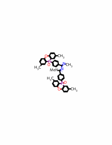 C/N=C(\N=C(/NC)c1ccc(P2(=O)c3cc(C)ccc3Oc3ccc(C)cc32)cc1)c1ccc(P2(=O)c3cc(C)ccc3Oc3ccc(C)cc32)cc1